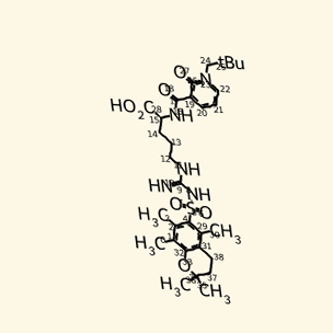 Cc1c(C)c(S(=O)(=O)NC(=N)NCCC[C@H](NC(=O)c2cccn(CC(C)(C)C)c2=O)C(=O)O)c(C)c2c1OC(C)(C)CC2